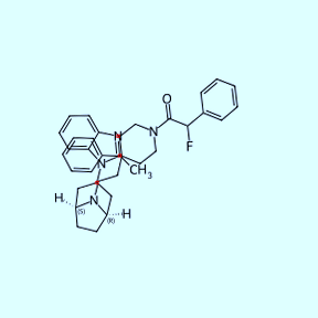 Cc1nc2ccccc2n1C1C[C@H]2CC[C@@H](C1)N2CCC1(c2ccccc2)CCN(C(=O)C(F)c2ccccc2)CC1